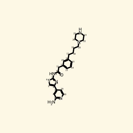 Nc1cc(-c2csc(NC(=O)Cc3cccc(CCCCN4CCNCC4)c3)n2)ccn1